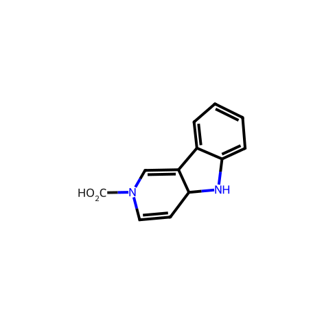 O=C(O)N1C=CC2Nc3ccccc3C2=C1